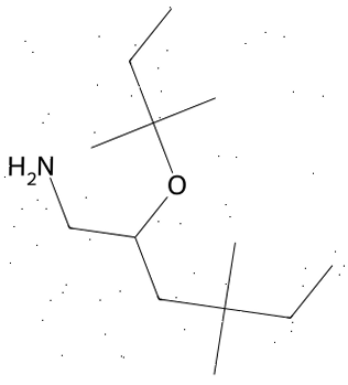 CCC(C)(C)CC(CN)OC(C)(C)CC